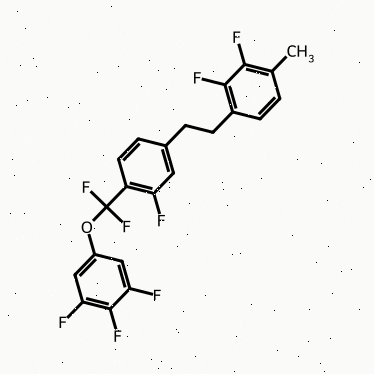 Cc1ccc(CCc2ccc(C(F)(F)Oc3cc(F)c(F)c(F)c3)c(F)c2)c(F)c1F